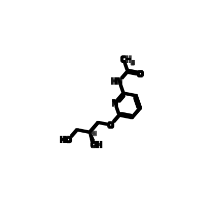 CC(=O)Nc1cccc(OC[C@@H](O)CO)n1